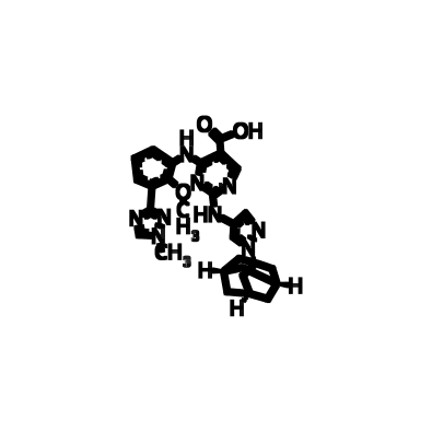 COc1c(Nc2nc(Nc3cnn([C@]45C[C@H]6C[C@H](C[C@H](C6)C4)C5)c3)ncc2C(=O)O)cccc1-c1ncn(C)n1